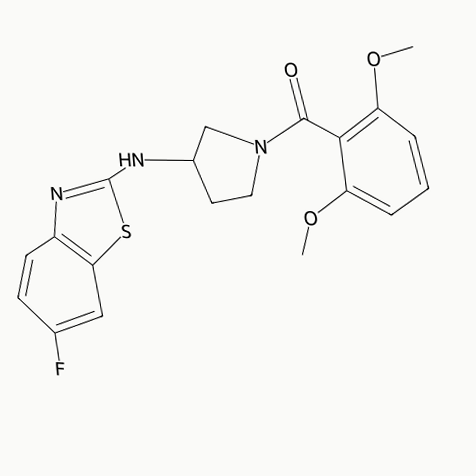 COc1cccc(OC)c1C(=O)N1CCC(Nc2nc3ccc(F)cc3s2)C1